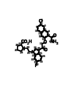 NC(=O)c1cc2cc(Cl)ccc2cc1OCC(=O)c1cn(CCN2CCC[C@H]2C(=O)O)c2cc(F)ccc12